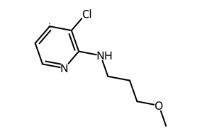 COCCCNc1ncc[c]c1Cl